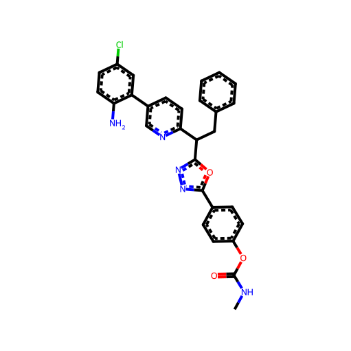 CNC(=O)Oc1ccc(-c2nnc(C(Cc3ccccc3)c3ccc(-c4cc(Cl)ccc4N)cn3)o2)cc1